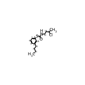 CCCCc1cccc(SC(=O)NCCC(C)Cl)c1